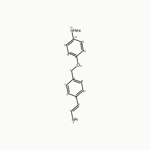 CCC/C=C/c1ccc(COc2ccc(CCCCCC)cc2)cc1